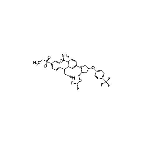 CCS(=O)(=O)c1ccc([C@H](CC#N)c2cc(N3C[C@@H](Oc4ccc(C(F)(F)F)cc4)C[C@H]3COC(F)F)ccc2C(N)=O)cc1